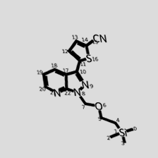 C[Si](C)(C)CCOCn1nc(-c2ccc(C#N)s2)c2cccnc21